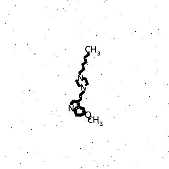 CCCCCCCN1CCN(CCCc2ccnc3ccc(OC)cc23)CC1